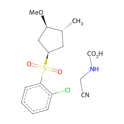 CO[C@@H]1C[C@H](S(=O)(=O)c2ccccc2Cl)C[C@H]1C.N#CCNC(=O)O